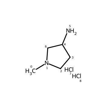 CN1CCC(N)C1.Cl.Cl